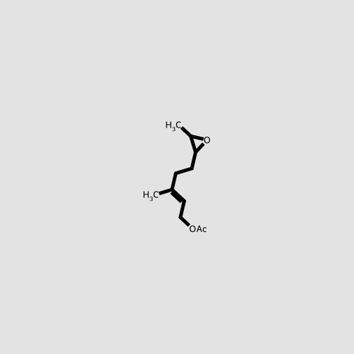 CC(=O)OCC=C(C)CCC1OC1C